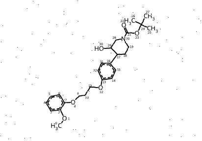 COc1ccccc1OCCCOc1ccc(C2CCN(C(=O)OC(C)(C)C)CC2O)cc1